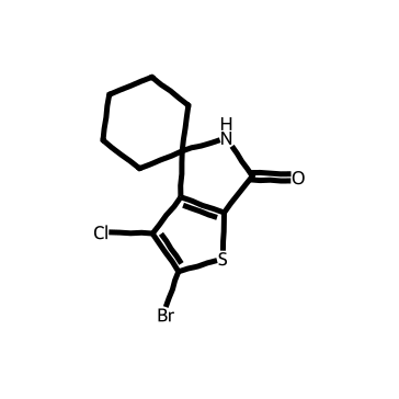 O=C1NC2(CCCCC2)c2c1sc(Br)c2Cl